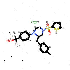 Cc1ccc(CC2CN(S(=O)(=O)c3cccs3)CCN2c2ccc(C(O)(C(F)(F)F)C(F)(F)F)cc2)cc1.Cl